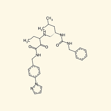 CCC(NC[C@H](CC(C)C)NC(=O)NCc1ccccc1)C(=O)C(=O)NCc1ccc(-n2cccn2)cc1